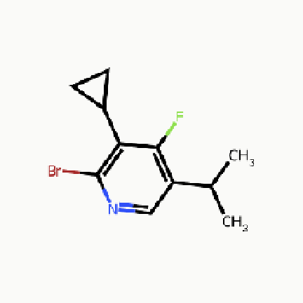 CC(C)c1cnc(Br)c(C2CC2)c1F